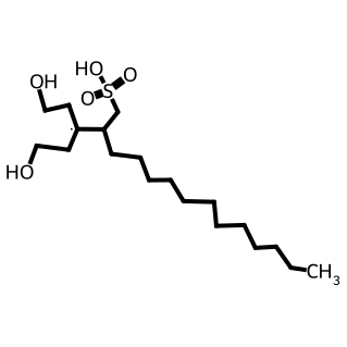 CCCCCCCCCCCCC(CS(=O)(=O)O)[C](CCO)CCO